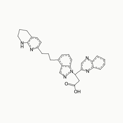 O=C(O)CC(c1cnc2ccccc2n1)n1ncc2c(CCCc3ccc4c(n3)NCCC4)cccc21